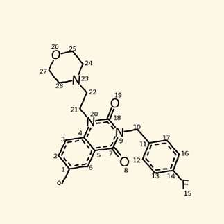 Cc1ccc2c(c1)c(=O)n(Cc1ccc(F)cc1)c(=O)n2CCN1CCOCC1